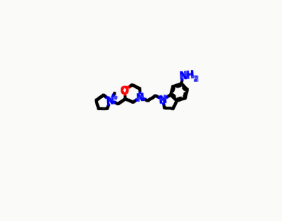 C[N+]1(CC2CN(CCN3CCc4ccc(N)cc43)CCO2)CCCC1